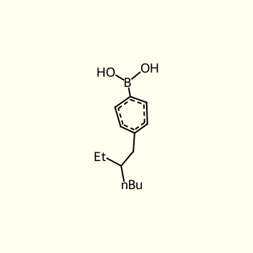 CCCCC(CC)Cc1ccc(B(O)O)cc1